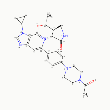 CC(=O)N1CCN(c2ccc(-c3cc4ncn(C5CC5)c4c(O[C@H](C)[C@H]4CNC(=O)C4)n3)cc2)CC1